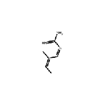 C/C=C(C)\C=N/C(=N)N